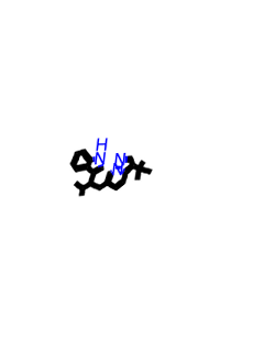 CC(C)C(Cc1ccc2c(C(C)(C)C)cnn2c1)c1c[nH]c2ccccc12